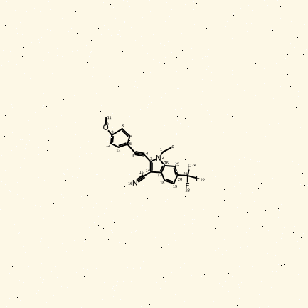 CCn1c(C#Cc2ccc(OC)cc2)c(C#N)c2ccc(C(F)(F)F)cc21